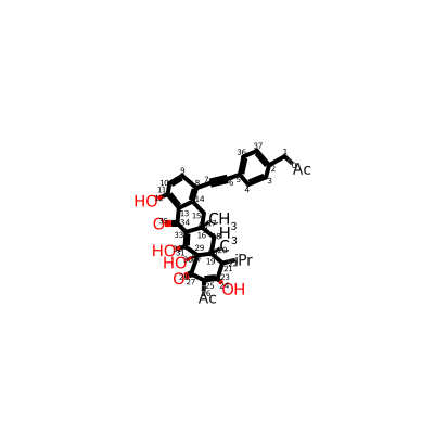 CC(=O)Cc1ccc(C#Cc2ccc(O)c3c2C[C@]2(C)C[C@]4(C)C(C(C)C)C(O)=C(C(C)=O)C(=O)[C@]4(O)C(O)=C2C3=O)cc1